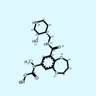 CN(C(=O)OC(C)(C)C)c1cc2c(c(C(=O)NC[C@@H]3CCNC[C@H]3O)c1)OCCCO2